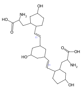 NC(CC1CC(O)CCC1/C=C/C1CC(O)CC(/C=C/C2CCC(O)CC2CC(N)C(=O)O)C1)C(=O)O